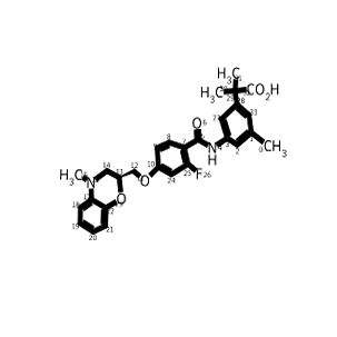 Cc1cc(NC(=O)c2ccc(OC[C@@H]3CN(C)c4ccccc4O3)cc2F)cc(C(C)(C)C(=O)O)c1